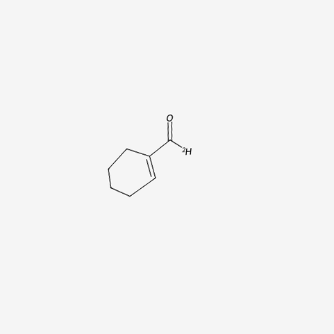 [2H]C(=O)C1=CCCCC1